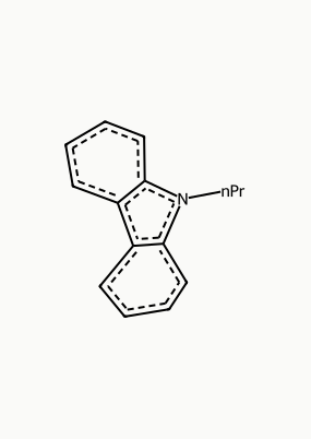 C[CH]Cn1c2ccccc2c2ccccc21